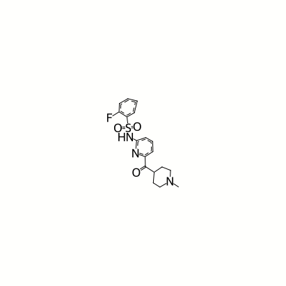 CN1CCC(C(=O)c2cccc(NS(=O)(=O)c3ccccc3F)n2)CC1